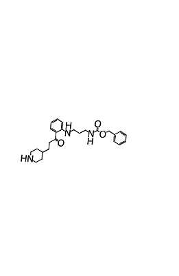 O=C(NCCCNc1ccccc1C(=O)CCC1CCNCC1)OCc1ccccc1